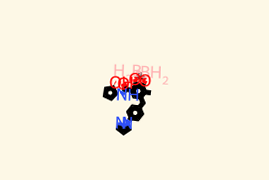 BC1(B)Oc2c(C(=O)N[C@H]3CCC[C@@H]3O)cc(Cc3ccc(-n4cccn4)cc3)c(C)c2O1